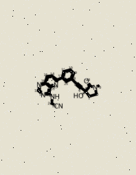 CN1CC[C@@](O)(C#Cc2cccc(-c3ccc4ncnc(NCC#N)c4n3)c2)C1=O